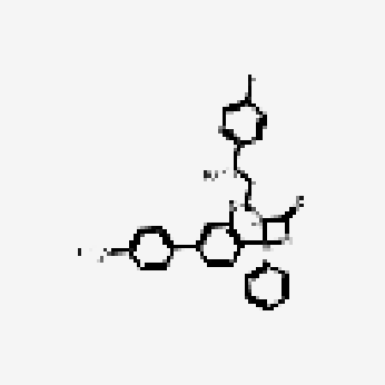 O=C1N[C@@](c2ccccc2)(c2ccc(-c3ccc(S(=O)(=O)O)cc3)cc2O)[C@H]1CC[C@H](O)c1ccc(F)cc1